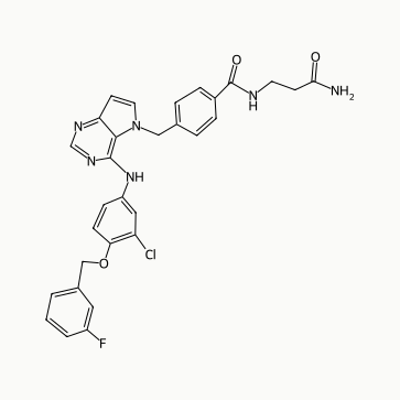 NC(=O)CCNC(=O)c1ccc(Cn2ccc3ncnc(Nc4ccc(OCc5cccc(F)c5)c(Cl)c4)c32)cc1